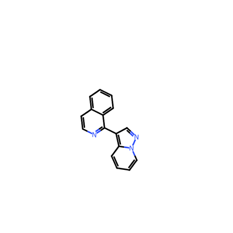 c1ccc2c(-c3cnn4ccccc34)nccc2c1